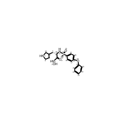 O=C(NO)[C@H](CC1CCNC1)NS(=O)(=O)c1ccc(Oc2ccccc2)cc1